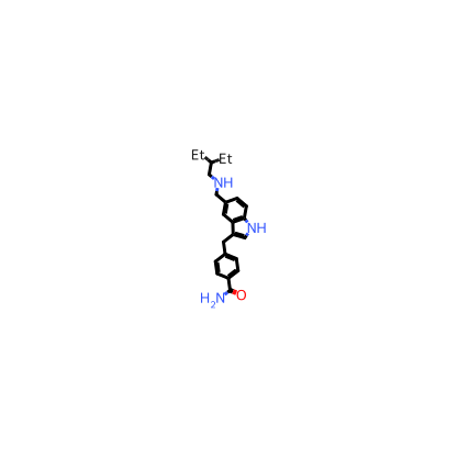 CCC(CC)CNCc1ccc2[nH]cc(Cc3ccc(C(N)=O)cc3)c2c1